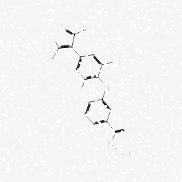 Cc1noc(C)c1-c1cc(Cl)c(Nc2cccc(C(=O)NO)c2)c(Cl)c1